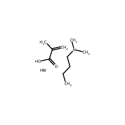 Br.C=C(C)C(=O)O.CCCCN(C)C